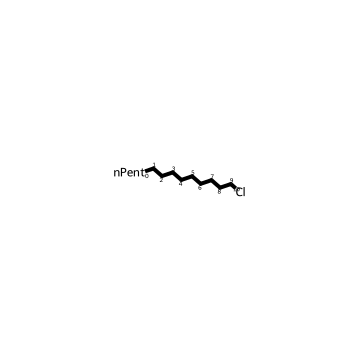 CCCCCCCCCCCCCCCl